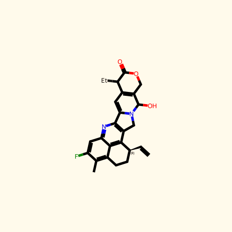 C=C[C@H]1CCc2c(C)c(F)cc3nc4c(c1c23)CN1C4=CC2=C(COC(=O)C2CC)C1O